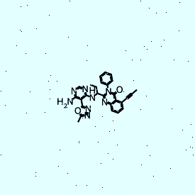 CC#Cc1cccc2nc(C(CC)Nc3ncnc(N)c3-c3nnc(C)o3)n(-c3ccccc3)c(=O)c12